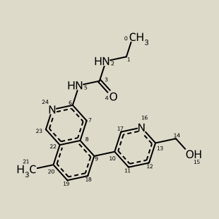 CCNC(=O)Nc1cc2c(-c3ccc(CO)nc3)ccc(C)c2cn1